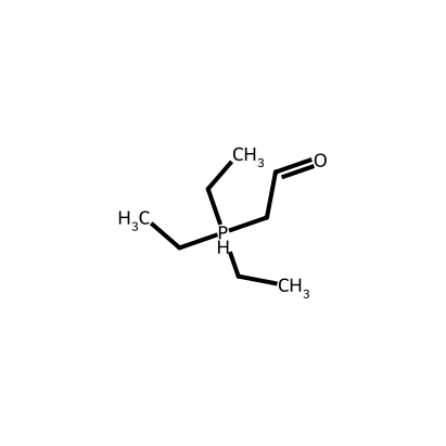 CC[PH](CC)(CC)CC=O